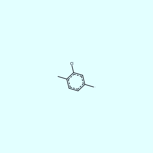 [CH2]c1ccc(C)c(Cl)c1